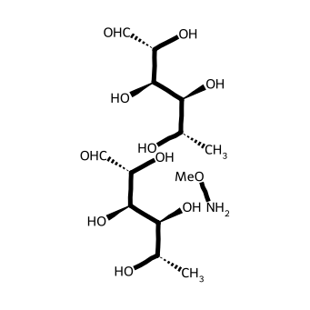 CON.C[C@H](O)[C@H](O)[C@@H](O)[C@@H](O)C=O.C[C@H](O)[C@H](O)[C@@H](O)[C@@H](O)C=O